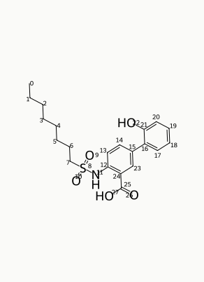 CCCCCCCCS(=O)(=O)Nc1ccc(-c2ccccc2O)cc1C(=O)O